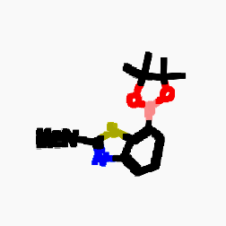 CNc1nc2cccc(B3OC(C)(C)C(C)(C)O3)c2s1